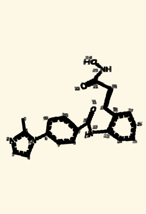 Cc1nccn1-c1ccc(C(=O)Nc2ccccc2/C=C/C(=O)NO)cc1